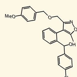 COc1ccc(COCc2noc(C)c2-c2ccccc2C(O)c2ccc(Cl)cc2)cc1